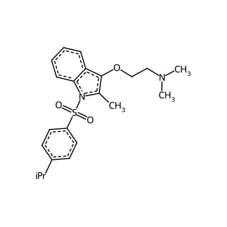 Cc1c(OCCN(C)C)c2ccccc2n1S(=O)(=O)c1ccc(C(C)C)cc1